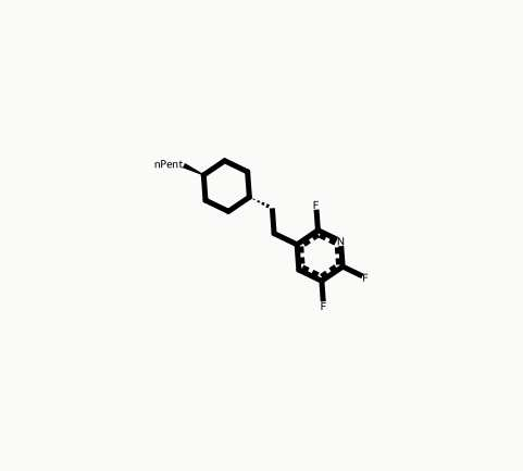 CCCCC[C@H]1CC[C@H](CCc2cc(F)c(F)nc2F)CC1